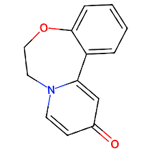 O=c1ccn2c(c1)-c1ccccc1OCC2